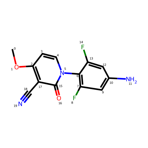 COc1ccn(-c2c(F)cc(N)cc2F)c(=O)c1C#N